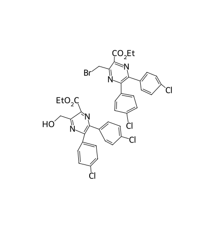 CCOC(=O)c1nc(-c2ccc(Cl)cc2)c(-c2ccc(Cl)cc2)nc1CBr.CCOC(=O)c1nc(-c2ccc(Cl)cc2)c(-c2ccc(Cl)cc2)nc1CO